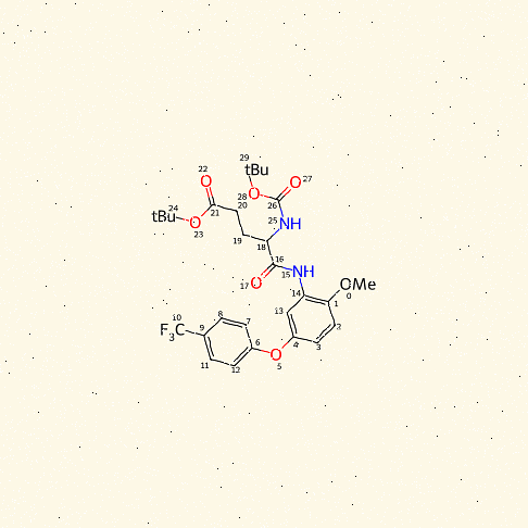 COc1ccc(Oc2ccc(C(F)(F)F)cc2)cc1NC(=O)C(CCC(=O)OC(C)(C)C)NC(=O)OC(C)(C)C